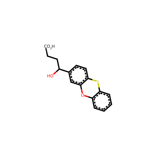 O=C(O)CCC(O)c1ccc2c(c1)Oc1ccccc1S2